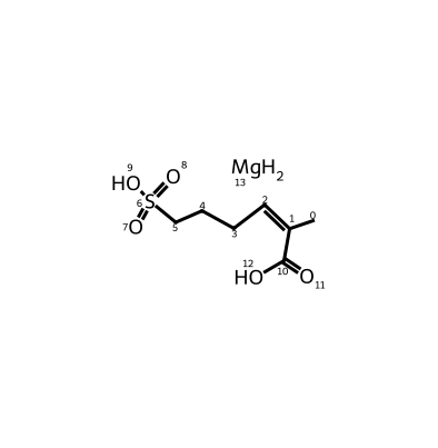 CC(=CCCCS(=O)(=O)O)C(=O)O.[MgH2]